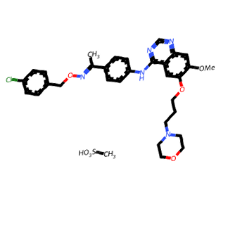 COc1cc2ncnc(Nc3ccc(C(C)=NOCc4ccc(Cl)cc4)cc3)c2cc1OCCCN1CCOCC1.CS(=O)(=O)O